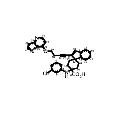 O=C(O)C1(Nc2cccc(Cl)c2)CCC2(CC1)C(C#CCCOc1ccnc3ccsc13)=Cc1ccccc12